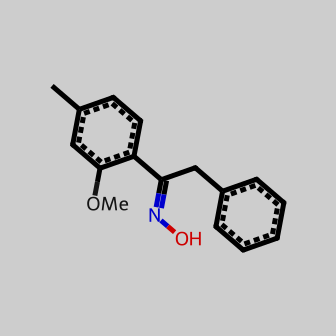 COc1cc(C)ccc1C(Cc1ccccc1)=NO